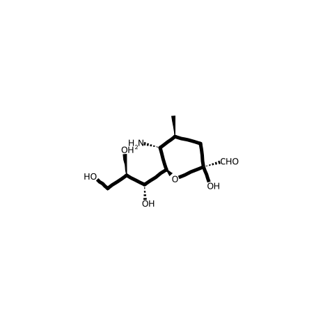 C[C@H]1C[C@](O)(C=O)O[C@@H]([C@H](O)[C@H](O)CO)[C@@H]1N